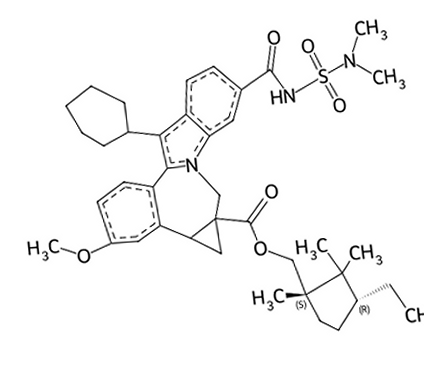 CC[C@@H]1CC[C@](C)(COC(=O)C23CC2c2cc(OC)ccc2-c2c(C4CCCCC4)c4ccc(C(=O)NS(=O)(=O)N(C)C)cc4n2C3)C1(C)C